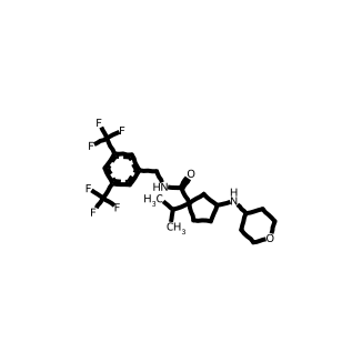 CC(C)C1(C(=O)NCc2cc(C(F)(F)F)cc(C(F)(F)F)c2)CCC(NC2CCOCC2)C1